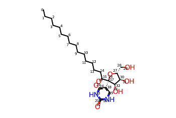 CCCCCCCCCCCCCCCC(=O)[C@@]1(c2c[nH]c(=O)[nH]c2=O)O[C@H](CO)[C@@H](O)[C@H]1O